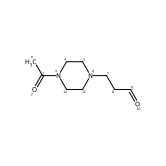 CC(=O)N1CCN(CC[C]=O)CC1